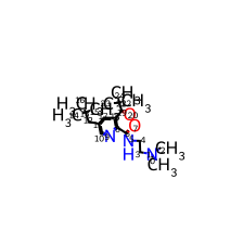 CN(C)CCNC(=O)c1ncc(CC(C)(C)C)cc1C(=O)C(C)(C)C